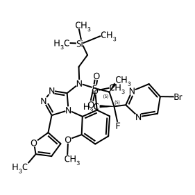 COc1cccc(OC)c1-n1c(-c2ccc(C)o2)nnc1N(CC[Si](C)(C)C)S(=O)(=O)[C@@H](C)[C@@](C)(F)c1ncc(Br)cn1